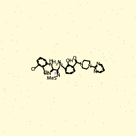 CS/N=C(\C(=N)Nc1cccc(Cl)c1Cl)N(N)c1cccc(C(=O)N2CCN(c3ncccn3)CC2)c1O